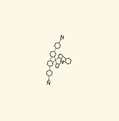 N#Cc1ccc(-c2ccc3c(c2)C2(c4cc(-c5ccc(C#N)cc5)ccc4-3)c3ccccc3-n3c4ccccc4c4cccc2c43)cc1